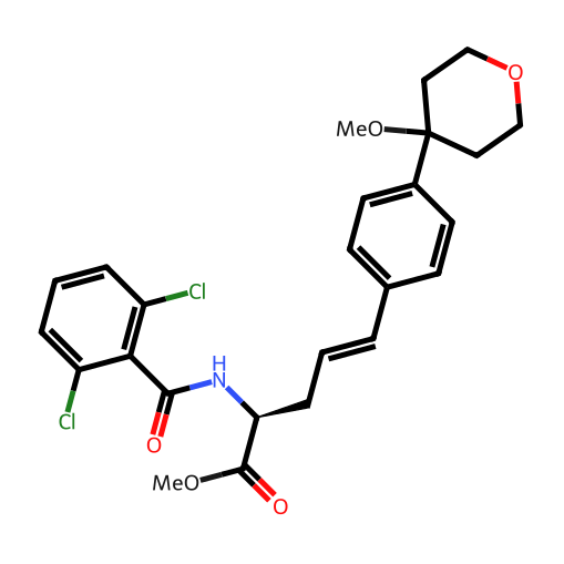 COC(=O)[C@H](C/C=C/c1ccc(C2(OC)CCOCC2)cc1)NC(=O)c1c(Cl)cccc1Cl